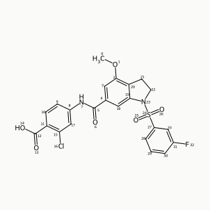 COc1cc(C(=O)Nc2ccc(C(=O)O)c(Cl)c2)cc2c1CCN2S(=O)(=O)c1cccc(F)c1